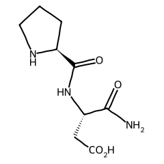 NC(=O)[C@H](CC(=O)O)NC(=O)[C@@H]1CCCN1